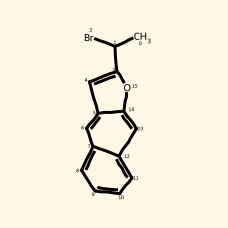 CC(Br)c1cc2cc3ccccc3cc2o1